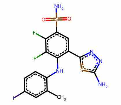 Cc1cc(I)ccc1Nc1c(-c2nnc(N)s2)cc(S(N)(=O)=O)c(F)c1F